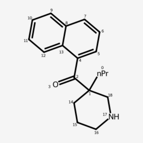 CCCC1(C(=O)c2cccc3ccccc23)CCCNC1